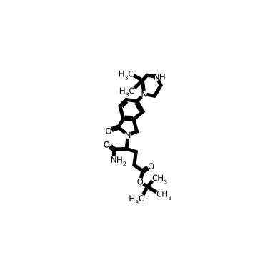 CC(C)(C)OC(=O)CCC(C(N)=O)N1Cc2cc(N3CCNCC3(C)C)ccc2C1=O